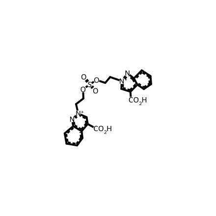 O=C(O)c1c[n+](CCOS(=O)(=O)OCC[n+]2cc(C(=O)O)c3ccccc3n2)nc2ccccc12